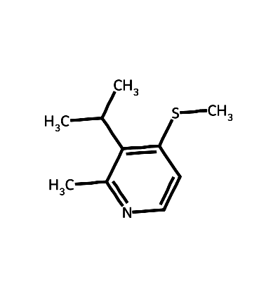 CSc1ccnc(C)c1C(C)C